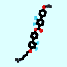 C=CCCCOc1ccc(-c2ccc(OC(=O)c3ccc(C4CCC(OCCCC)CC4)c(F)c3F)cc2)c(F)c1F